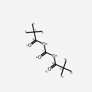 CC(C)(C)C(=O)OC(=O)OC(=O)C(C)(C)C